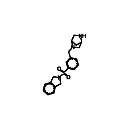 O=S(=O)(c1cccc(CN2CC3CC2CN3)c1)N1Cc2ccccc2C1